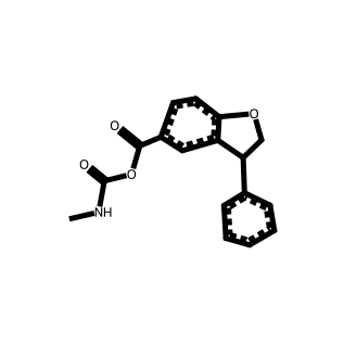 CNC(=O)OC(=O)c1ccc2c(c1)C(c1ccccc1)CO2